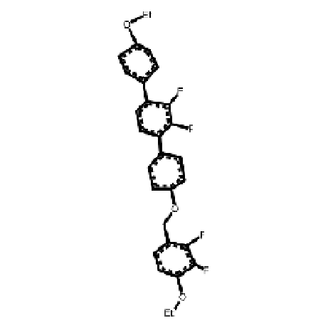 CCOc1ccc(-c2ccc(-c3ccc(OCc4ccc(OCC)c(F)c4F)cc3)c(F)c2F)cc1